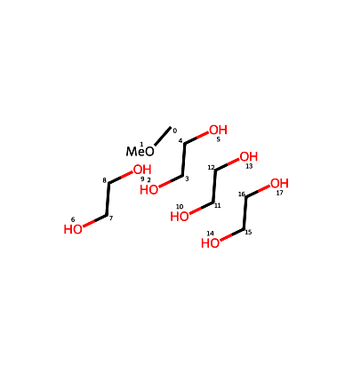 COC.OCCO.OCCO.OCCO.OCCO